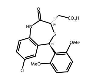 COc1cccc(OC)c1[C@@H]1S[C@@H](CC(=O)O)C(=O)Nc2ccc(Cl)cc21